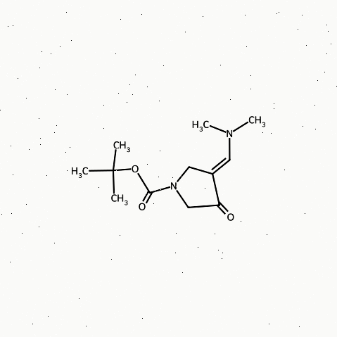 CN(C)/C=C1\CN(C(=O)OC(C)(C)C)CC1=O